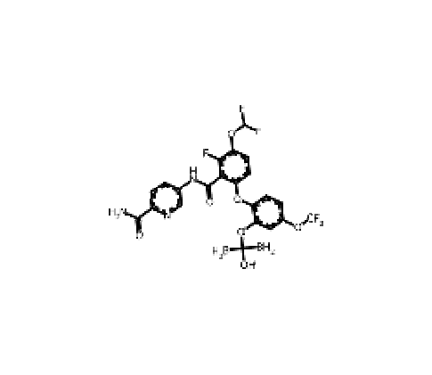 BC(B)(O)Oc1cc(OC(F)(F)F)ccc1Oc1ccc(OC(F)F)c(F)c1C(=O)Nc1ccc(C(N)=O)nc1